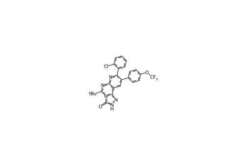 CC(C)(C)c1nc2nc(-c3ccccc3Cl)c(-c3ccc(OC(F)(F)F)cc3)cc2c2n[nH]c(=O)n12